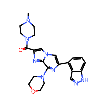 CN1CCN(C(=O)c2cn3cc(-c4cccc5[nH]ncc45)nc(N4CCOCC4)c3n2)CC1